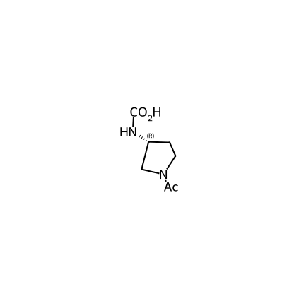 CC(=O)N1CC[C@@H](NC(=O)O)C1